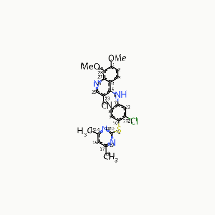 COc1ccc2c(Nc3ccc(Sc4nc(C)cc(C)n4)c(Cl)c3)c(C#N)cnc2c1OC